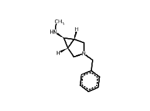 CN[C@H]1[C@@H]2CN(Cc3ccccc3)C[C@@H]21